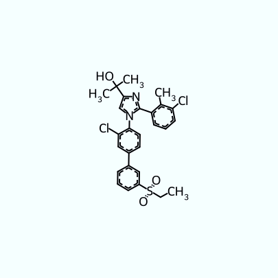 CCS(=O)(=O)c1cccc(-c2ccc(-n3cc(C(C)(C)O)nc3-c3cccc(Cl)c3C)c(Cl)c2)c1